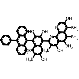 Bc1c(O)cc2c(-c3nc4c(c(B)c(B)c5c(B)c(O)cnc54)c(O)c3B)c(O)c(O)c(-c3c4ccccc4c(-c4ccccc4)c4ccccc34)c2c1B